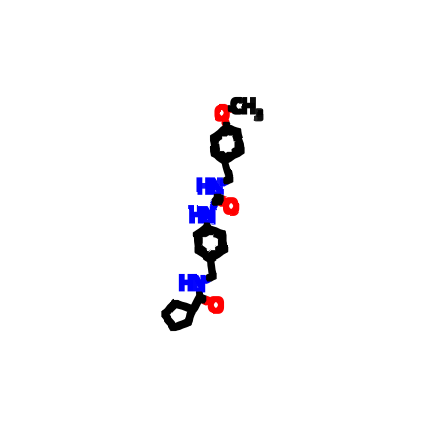 COc1ccc(CNC(=O)Nc2ccc(CNC(=O)C3CCCC3)cc2)cc1